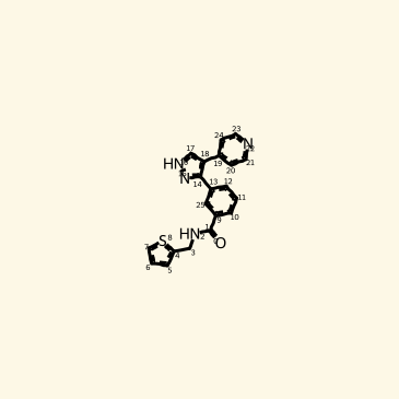 O=C(NCc1cccs1)c1cccc(-c2n[nH]cc2-c2ccncc2)c1